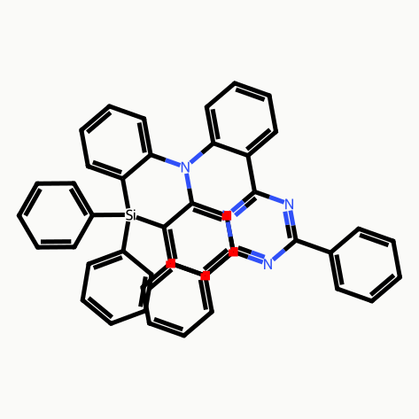 c1ccc(-c2nc(-c3ccccc3)nc(-c3ccccc3N3c4ccccc4[Si](c4ccccc4)(c4ccccc4)c4ccccc43)n2)cc1